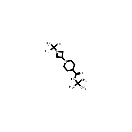 CC(C)(C)NC(=O)C1CCN(C2CN(C(C)(C)C)C2)CC1